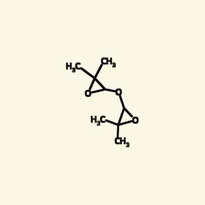 CC1(C)OC1OC1OC1(C)C